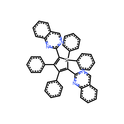 c1ccc(C2=C(c3ncc4ccccc4n3)[Si](c3ccccc3)(c3ccccc3)C(c3ncc4ccccc4n3)=C2c2ccccc2)cc1